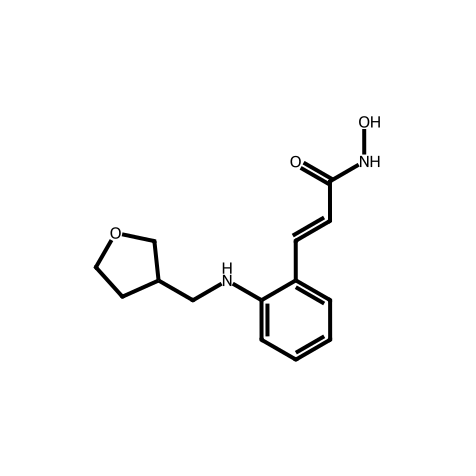 O=C(/C=C/c1ccccc1NCC1CCOC1)NO